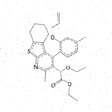 C=CCOc1cc(C)ccc1-c1c(C(OCC)C(=O)OCC)c(C)nc2sc3c(c12)CCCC3